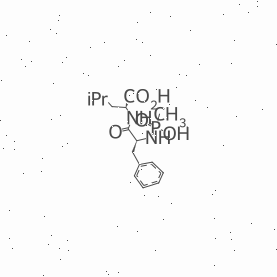 CC(C)C[C@H](NC(=O)[C@H](Cc1ccccc1)NP(C)(=O)O)C(=O)O